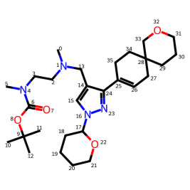 CN(CCN(C)C(=O)OC(C)(C)C)Cc1cn(C2CCCCO2)nc1C1=CCC2(CCCOC2)CC1